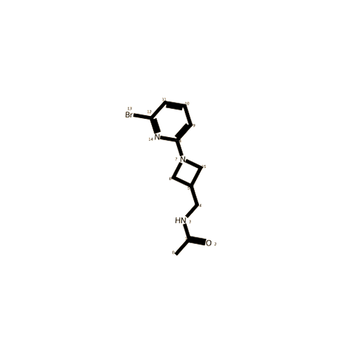 CC(=O)NCC1CN(c2cccc(Br)n2)C1